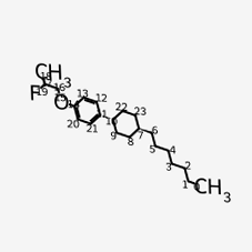 CCCCCCC[C@H]1CC[C@H](c2ccc(OCC(C)F)cc2)CC1